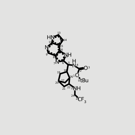 CC(C)(C)OC(=O)NC(c1nc2cnc3[nH]ccc3c2[nH]1)C1CC2CC(NCC(F)(F)F)C1C2